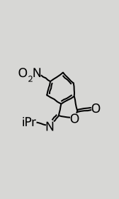 CC(C)/N=C1/OC(=O)c2ccc([N+](=O)[O-])cc21